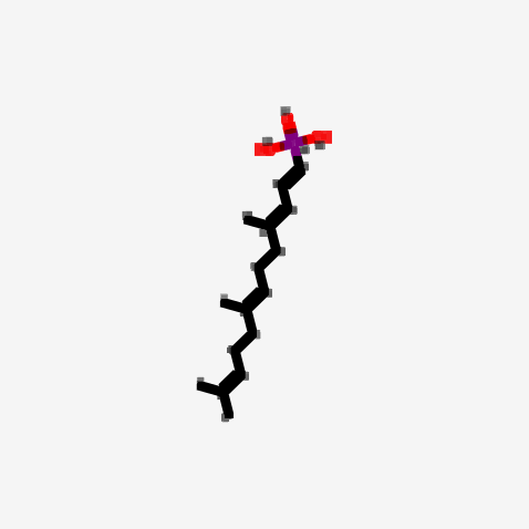 CC(C)=CCC/C(C)=C/CC/C(C)=C/C=C/P(=O)(O)O